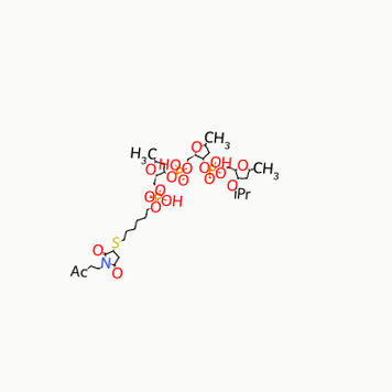 CC(=O)CCN1C(=O)CC(SCCCCCCOP(=O)(O)OC[C@H]2O[C@@H](C)C[C@@H]2OP(=O)(O)OC[C@H]2O[C@@H](C)C[C@@H]2OP(=O)(O)OC[C@H]2O[C@@H](C)C[C@@H]2OC(C)C)C1=O